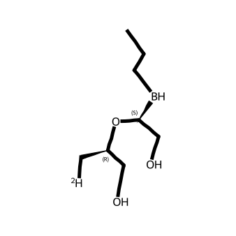 [2H]C[C@H](CO)O[C@@H](BCCC)CO